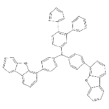 c1ccc(-c2ccc(N(c3ccc(-c4cccc5c4oc4ccccc45)cc3)c3ccc(-c4cccc5c4oc4ccccc45)cc3)cc2-c2ccccc2)cc1